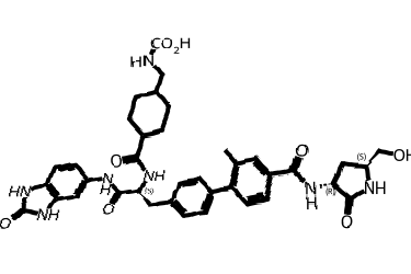 Cc1cc(C(=O)N[C@@H]2C[C@@H](CO)NC2=O)ccc1-c1ccc(C[C@H](NC(=O)C2CCC(CNC(=O)O)CC2)C(=O)Nc2ccc3[nH]c(=O)[nH]c3c2)cc1